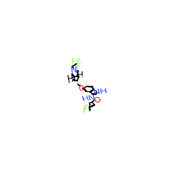 CC1(F)CC(C(=O)Nc2c[nH]c3ccc(OCC[C@@H]4C[C@@H]5CN(CC(F)(F)F)C[C@@H]5C4)cc23)C1